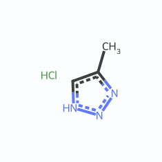 Cc1c[nH]nn1.Cl